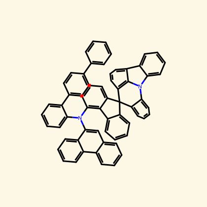 c1ccc(-c2ccc(-c3ccccc3N(c3cccc4c3-c3ccccc3C43c4ccccc4-n4c5ccccc5c5cccc3c54)c3cc4ccccc4c4ccccc34)cc2)cc1